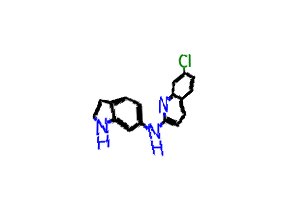 Clc1ccc2ccc(Nc3ccc4cc[nH]c4c3)nc2c1